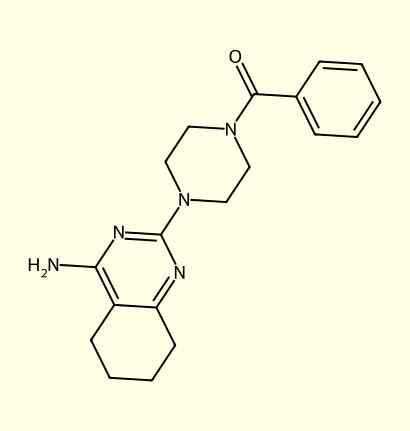 Nc1nc(N2CCN(C(=O)c3ccccc3)CC2)nc2c1CCCC2